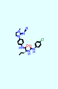 CCC[C@@H](NC(=O)Nc1ccc(Cl)cc1)C(=O)Nc1ccc(N2CCN(C)/C2=N\C#N)cc1